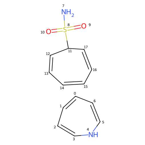 C1=CC=CNC=C1.NS(=O)(=O)C1C=CC=CC=C1